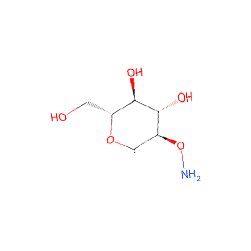 NO[C@H]1[CH]O[C@H](CO)[C@@H](O)[C@@H]1O